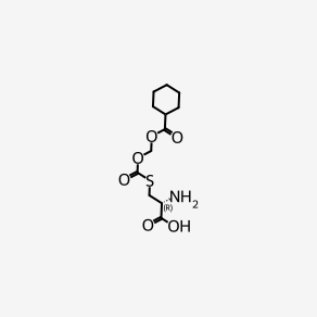 N[C@@H](CSC(=O)OCOC(=O)C1CCCCC1)C(=O)O